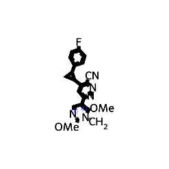 C=N/C(OC)=C(\C=N/COC)c1cc(C2CC2c2ccc(F)cc2)c(C#N)nn1